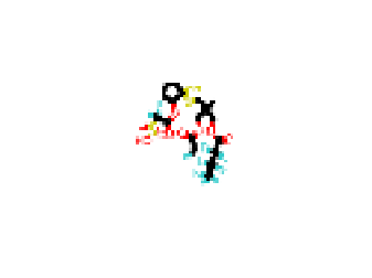 CC(COC(=O)CF)(COC(=O)C(F)(F)C(F)(F)C(F)(F)F)CSC1(S)CCCC1OC(=O)C(F)(F)S(=O)(=O)O